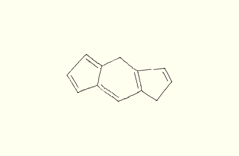 C1=CC2=CC3=C(C=CC3)CC2=C1